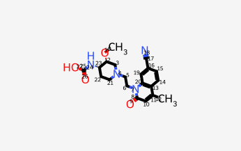 CO[C@@H]1CN(CCn2c(=O)cc(C)c3ccc(C#N)cc32)CC[C@@H]1NC(=O)O